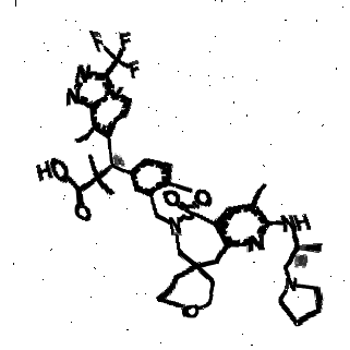 Cc1ccc([C@H](c2ccn3c(C(F)(F)F)nnc3c2C)C(C)(C)C(=O)O)cc1CN1CC2(CCOCC2)Cc2nc(N[C@@H](C)CN3CCCC3)c(C)cc2S1(=O)=O